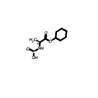 C[C@H](NP(O)Cl)C(=O)OC1CCCCC1